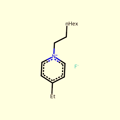 CCCCCCCC[n+]1ccc(CC)cc1.[F-]